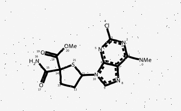 CNc1nc(Cl)nc2c1ncn2C1CCC(C(N)=O)(C(=O)OC)S1